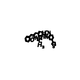 CCNC(=O)[C@@H](Cc1ccccc1)Cc1ccc(C(=O)Nc2cc(-c3ccsc3)ccc2N)cc1